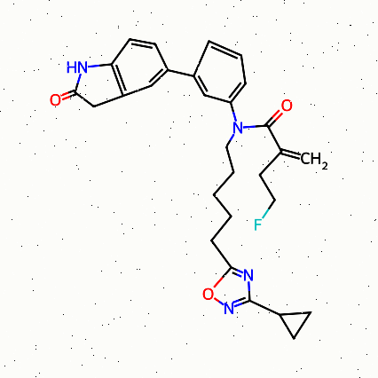 C=C(CCF)C(=O)N(CCCCCc1nc(C2CC2)no1)c1cccc(-c2ccc3c(c2)CC(=O)N3)c1